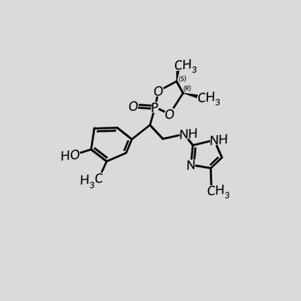 Cc1c[nH]c(NCC(c2ccc(O)c(C)c2)P2(=O)O[C@@H](C)[C@@H](C)O2)n1